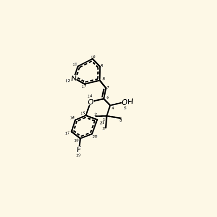 CC(C)(C)C(O)C(=Cc1cccnc1)Oc1ccc(F)cc1